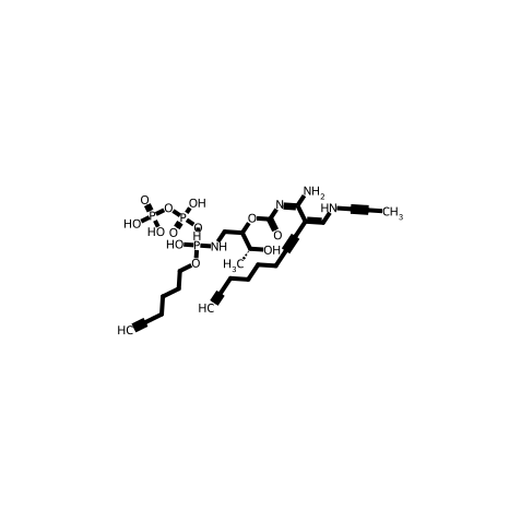 C#CCCCCC#CC(=C/NC#CC)/C(N)=N\C(=O)OC(CN[PH](O)(OCCCCC#C)OP(=O)(O)OP(=O)(O)O)[C@@H](C)O